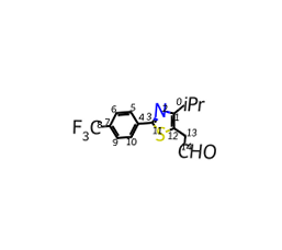 CC(C)c1nc(-c2ccc(C(F)(F)F)cc2)sc1CC=O